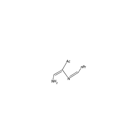 CCC/C=N\C(=C/N)C(C)=O